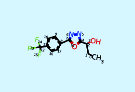 CCC(O)c1nnc(-c2ccc(C(F)(F)F)cc2)o1